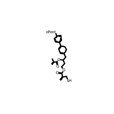 C=C(C)C(=O)OC(CCOC(=O)C(=C)CS)CC1=CC=C(c2ccc(CCCCC)cc2)CC1